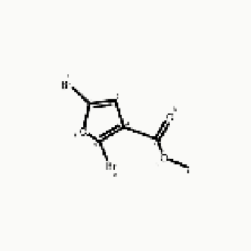 COC(=O)c1cc(Br)oc1Br